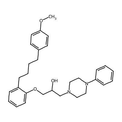 COc1ccc(CCCCc2ccccc2OCC(O)CN2CCN(c3ccccc3)CC2)cc1